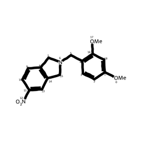 COc1ccc(CN2Cc3ccc([N+](=O)[O-])cc3C2)c(OC)c1